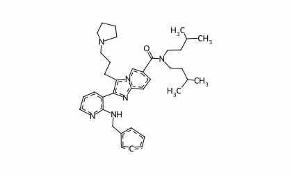 CC(C)CCN(CCC(C)C)C(=O)c1ccc2nc(-c3cccnc3NCc3ccccc3)c(CCCN3CCCC3)n2c1